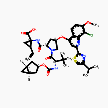 C=CC1C[C@]1(NC(=O)[C@@H]1C[C@@H](Oc2cc(-c3nc(C(C)C)cs3)nc3c(Cl)c(OC)ccc23)CN1C(=O)[C@@H](NC(=O)O[C@@H]1C[C@@H]2C[C@@H]2C1)C(C)(C)C)C(=O)O